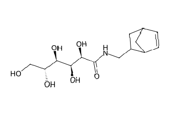 O=C(NCC1CC2C=CC1C2)[C@H](O)[C@@H](O)[C@H](O)[C@H](O)CO